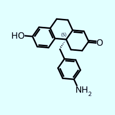 Nc1ccc(C[C@@]23CCC(=O)C=C2CCc2cc(O)ccc23)cc1